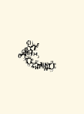 CCc1cc(F)cc(C)c1C(=O)NC(Cc1ccc(-c2cc(CNc3nc4ccccc4[nH]3)ns2)cc1)C(=O)O